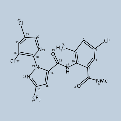 CNC(=O)c1cc(Cl)cc(C)c1NC(=O)c1cc(C(F)(F)F)nn1-c1ncc(Cl)cc1Cl